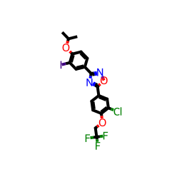 CC(C)Oc1ccc(-c2noc(-c3ccc(OCC(F)(F)F)c(Cl)c3)n2)cc1I